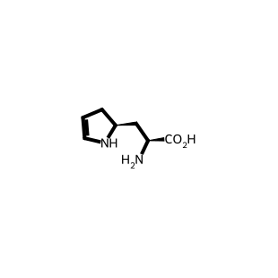 N[C@@H](C[C@@H]1CC=CN1)C(=O)O